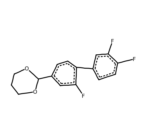 Fc1ccc(-c2ccc(C3OCCCO3)cc2F)cc1F